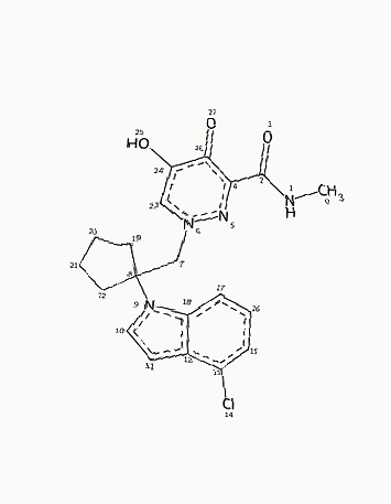 CNC(=O)c1nn(CC2(n3ccc4c(Cl)cccc43)CCCC2)cc(O)c1=O